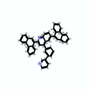 c1cncc(-c2cccc(-c3cc(-c4cc5ccccc5c5ccccc45)nc4ccc(-c5cc6ccccc6c6ccccc56)cc34)c2)c1